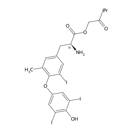 Cc1cc(C[C@H](N)C(=O)OCC(=O)C(C)C)cc(I)c1Oc1cc(I)c(O)c(I)c1